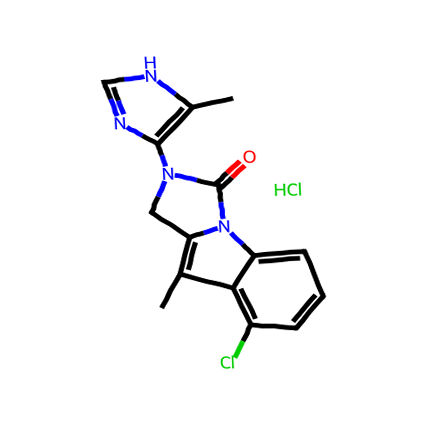 Cc1[nH]cnc1N1Cc2c(C)c3c(Cl)cccc3n2C1=O.Cl